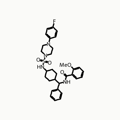 COc1ccccc1C(=O)NC(c1ccccc1)C1CCC(NS(=O)(=O)N2CCN(c3ccc(F)cc3)CC2)CC1